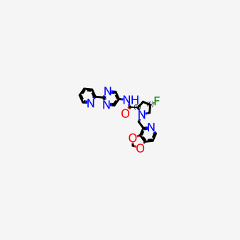 O=C(Nc1cnc(-c2ccccn2)nc1)[C@H]1C[C@H](F)CN1Cc1nccc2c1OCO2